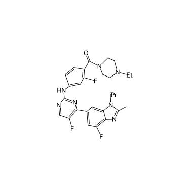 CCN1CCN(C(=O)c2ccc(Nc3ncc(F)c(-c4cc(F)c5nc(C)n(C(C)C)c5c4)n3)cc2F)CC1